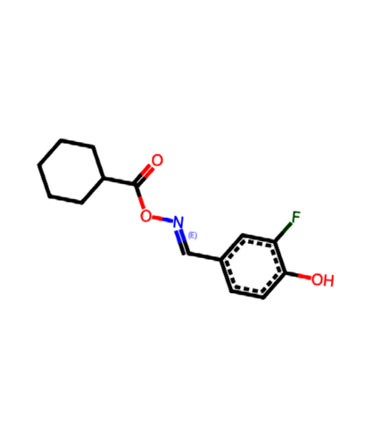 O=C(O/N=C/c1ccc(O)c(F)c1)C1CCCCC1